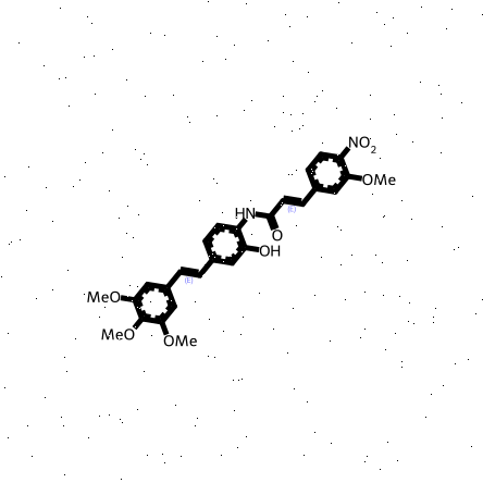 COc1cc(/C=C/C(=O)Nc2ccc(/C=C/c3cc(OC)c(OC)c(OC)c3)cc2O)ccc1[N+](=O)[O-]